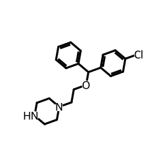 Clc1ccc(C(OCCN2CCNCC2)c2ccccc2)cc1